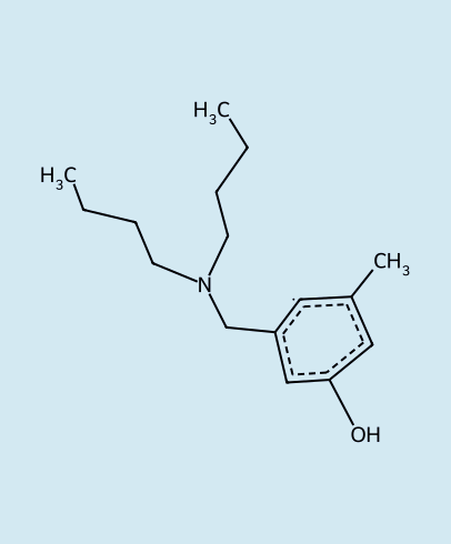 CCCCN(CCCC)Cc1[c]c(C)cc(O)c1